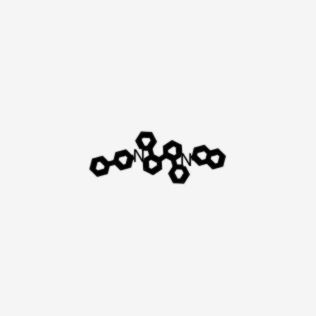 C1=CC2c3c(-c4cccc5c4c4ccccc4n5-c4ccc(-c5ccccc5)cc4)cccc3N(c3ccc4ccccc4c3)C2C=C1